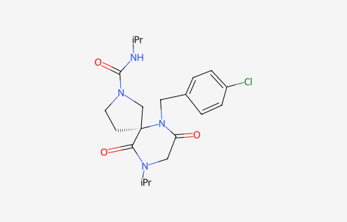 CC(C)NC(=O)N1CC[C@@]2(C1)C(=O)N(C(C)C)CC(=O)N2Cc1ccc(Cl)cc1